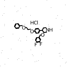 Cl.Fc1ccc(COC2CNCCC2c2ccc(OCCCOCc3ccccc3)cc2)cc1F